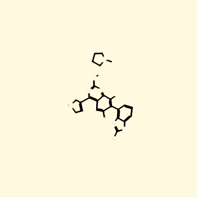 CN1CCC[C@H]1COc1nc(C2=CCNC2)c2cc(Cl)c(-c3cccc4sc(N)nc34)c(F)c2n1